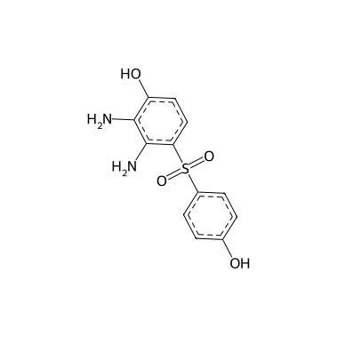 Nc1c(O)ccc(S(=O)(=O)c2ccc(O)cc2)c1N